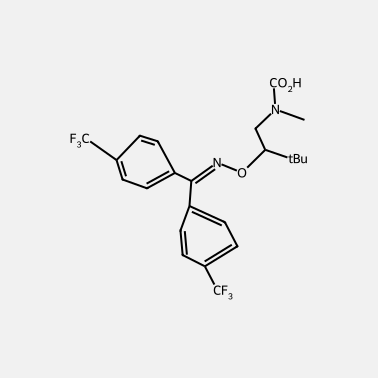 CN(CC(ON=C(c1ccc(C(F)(F)F)cc1)c1ccc(C(F)(F)F)cc1)C(C)(C)C)C(=O)O